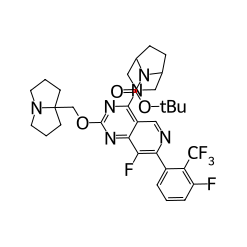 CC(C)(C)OC(=O)N1C2CCC1CN(c1nc(OCC34CCCN3CCC4)nc3c(F)c(-c4cccc(F)c4C(F)(F)F)ncc13)C2